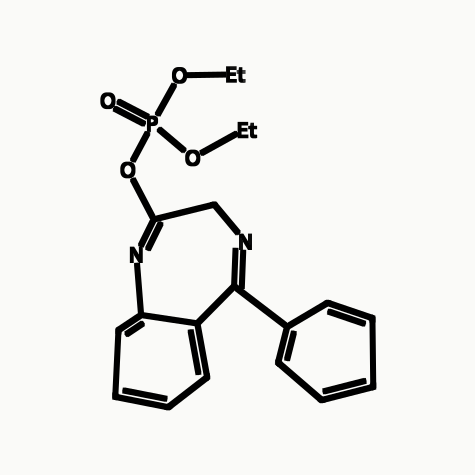 CCOP(=O)(OCC)OC1=Nc2ccccc2C(c2ccccc2)=NC1